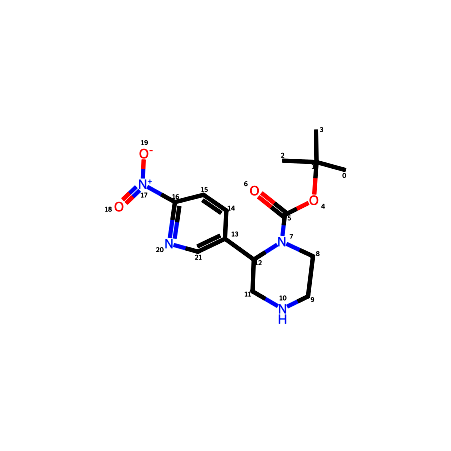 CC(C)(C)OC(=O)N1CCNCC1c1ccc([N+](=O)[O-])nc1